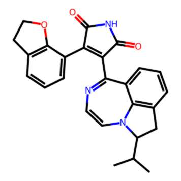 CC(C)C1Cc2cccc3c2N1C=CN=C3C1=C(c2cccc3c2OCC3)C(=O)NC1=O